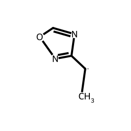 C[CH]c1ncon1